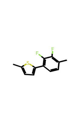 Cc1ccc(-c2ccc(C)c(F)c2F)s1